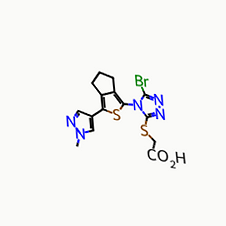 Cn1cc(-c2sc(-n3c(Br)nnc3SCC(=O)O)c3c2CCC3)cn1